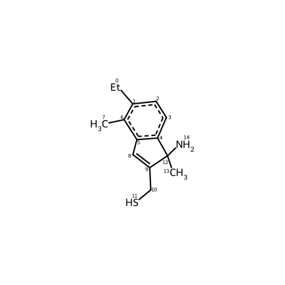 CCc1ccc2c(c1C)C=C(CS)C2(C)N